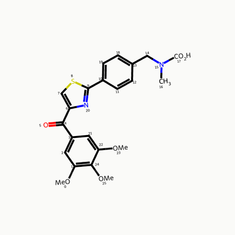 COc1cc(C(=O)c2csc(-c3ccc(CN(C)C(=O)O)cc3)n2)cc(OC)c1OC